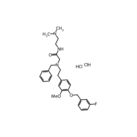 COc1cc(CCN(CC(=O)NCCN(C)C)Cc2ccccc2)ccc1OCc1cccc(F)c1.Cl.Cl